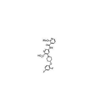 COc1ncccc1C(=O)Nc1cnc(C(=O)O)c(N2CCC(Oc3ccc(F)cc3F)CC2)c1